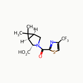 CC1(C)[C@@H]2[C@@H](C(=O)O)N(C(=O)c3nc(C(F)(F)F)cs3)C[C@@H]21